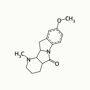 COc1ccc2c(c1)CC1C3C(CCCN3C)C(=O)N21